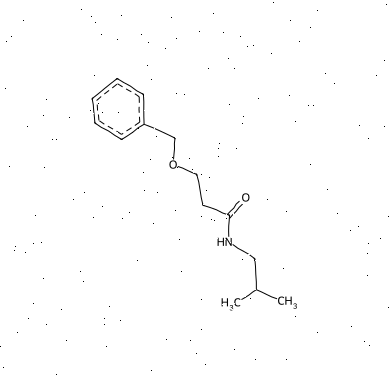 CC(C)CNC(=O)CCOCc1ccccc1